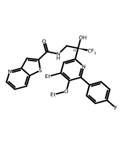 CCOc1c(CC)cc([C@@](O)(CNC(=O)c2cc3ncccc3s2)C(F)(F)F)nc1-c1ccc(F)cc1